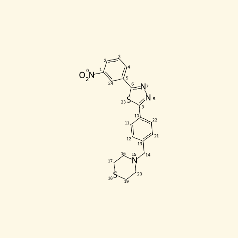 O=[N+]([O-])c1cccc(-c2nnc(-c3ccc(CN4CCSCC4)cc3)s2)c1